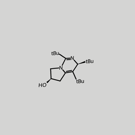 CC(C)(C)C1=N[C@@H](C(C)(C)C)C(C(C)(C)C)=C2C[C@@H](O)CN12